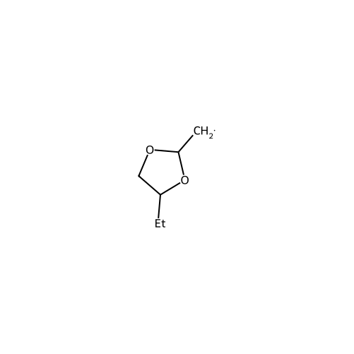 [CH2]C1OCC(CC)O1